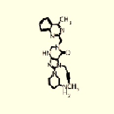 CC#CCn1c(N2CCCC(N)C2)nc2c1C(=O)N(Cc1nc(C)c3ccccc3n1)CN2